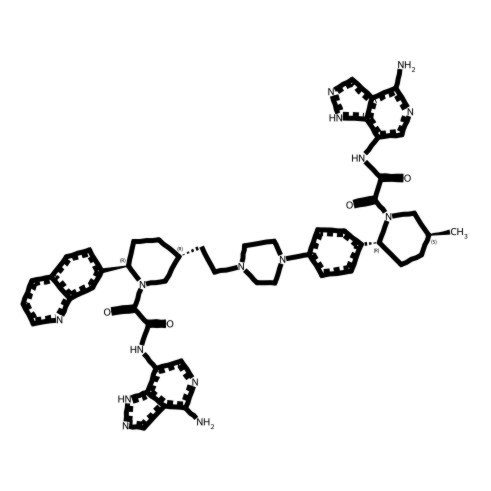 C[C@H]1CC[C@H](c2ccc(N3CCN(CC[C@H]4CC[C@H](c5ccc6cccnc6c5)N(C(=O)C(=O)Nc5cnc(N)c6cn[nH]c56)C4)CC3)cc2)N(C(=O)C(=O)Nc2cnc(N)c3cn[nH]c23)C1